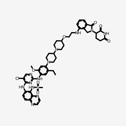 CCc1cc(Nc2ncc(Cl)c(Nc3ccc4nccnc4c3NS(C)(=O)=O)n2)c(OC)cc1N1CCC(N2CCC(OCCNc3cccc4c3CN(C3CCC(=O)NC3=O)C4=O)CC2)CC1